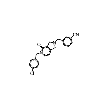 N#Cc1cccc(CN2Cc3ccn(Cc4ccc(Cl)cc4)c(=O)c3C2)c1